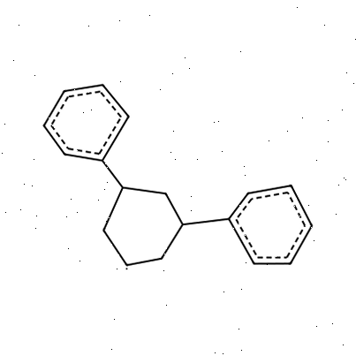 [CH]1CC(c2ccccc2)CC(c2ccccc2)C1